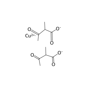 CC(=O)C(C)C(=O)[O-].CC(=O)C(C)C(=O)[O-].[Cu+2]